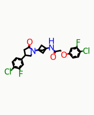 O=C(COc1ccc(Cl)c(F)c1)NC12CC(N3CC(c4ccc(Cl)c(F)c4)CC3=O)(C1)C2